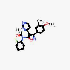 COc1ccc(-c2noc(N(C(C)=O)c3ccccc3F)c2-c2ccncn2)cc1C